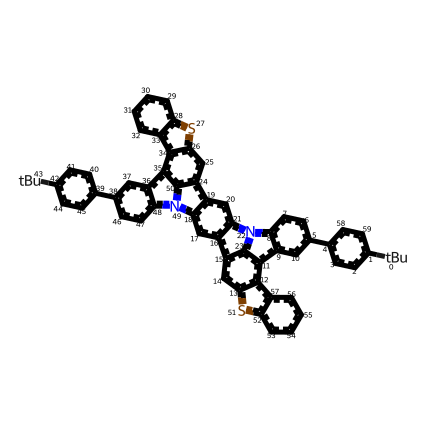 CC(C)(C)c1ccc(-c2ccc3c(c2)c2c4c(cc5c6cc7c(cc6n3c52)c2cc3sc5ccccc5c3c3c5cc(-c6ccc(C(C)(C)C)cc6)ccc5n7c23)sc2ccccc24)cc1